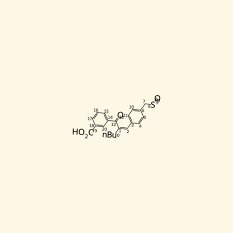 [CH2]CCCC(=Cc1ccc(C[S+]=O)cc1)C(=O)c1cccc(C(=O)O)c1